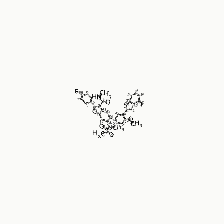 CNC(=O)c1c(-c2ccc(F)cc2)oc2cc(N(C)S(C)(=O)=O)c(-c3ccc(OC)c(-c4cc5c(F)cccc5s4)c3)cc12